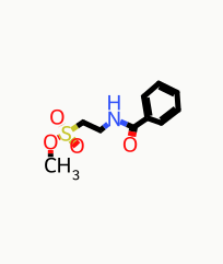 COS(=O)(=O)CCNC(=O)c1ccccc1